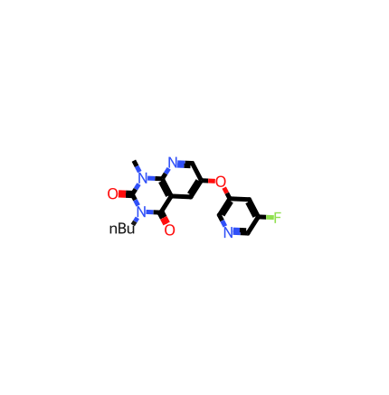 CCCCn1c(=O)c2cc(Oc3cncc(F)c3)cnc2n(C)c1=O